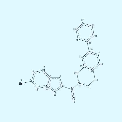 O=C(c1cc2ncc(Br)cn2n1)N1CCc2ccc(-c3ccncc3)cc2C1